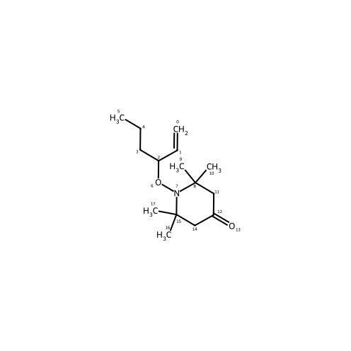 C=CC(CCC)ON1C(C)(C)CC(=O)CC1(C)C